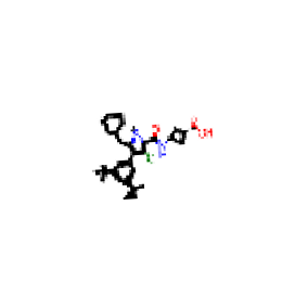 Cn1c(CC2CCCCC2)c(-c2cc(C(C)(C)C)cc(C3(C)CC3)c2)c(Cl)c1C(=O)N[C@H]1C[C@H](C(=O)O)C1